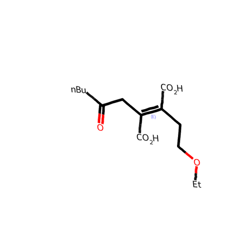 CCCCC(=O)C/C(C(=O)O)=C(/CCOCC)C(=O)O